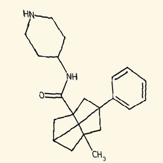 CC12CC3CC1(C(=O)NC1CCNCC1)CC3(c1ccccc1)C2